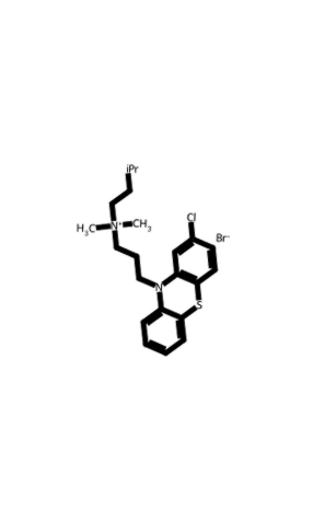 CC(C)CC[N+](C)(C)CCCN1c2ccccc2Sc2ccc(Cl)cc21.[Br-]